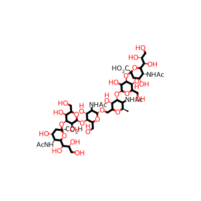 CC(=O)NC1[C@H](OCC2O[C@H](C)C(NC(C)=O)[C@@H](O[C@@H]3OC(CO)[C@H](O)[C@H](O[C@]4(C(=O)O)C[C@@H](O)[C@@H](NC(C)=O)C([C@H](O)[C@H](O)CO)O4)C3O)[C@H]2O)OC(CO)[C@@H](O[C@@H]2OC(CO)[C@H](O)[C@H](O[C@]3(C(=O)O)C[C@@H](O)[C@@H](NC(C)=O)C([C@H](O)[C@H](O)CO)O3)C2O)[C@@H]1O